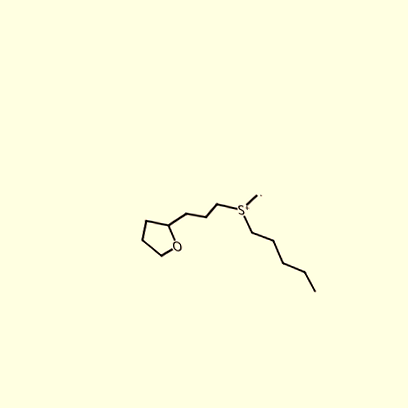 [CH2][S+](CCCCC)CCCC1CCCO1